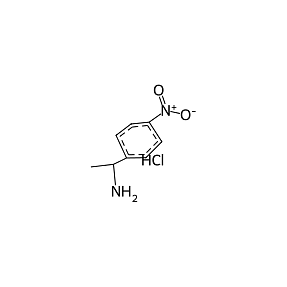 CC(N)c1ccc([N+](=O)[O-])cc1.Cl